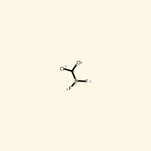 FB(F)C(Cl)Cl